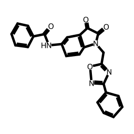 O=C(Nc1ccc2c(c1)C(=O)C(=O)N2Cc1nc(-c2ccccc2)no1)c1ccccc1